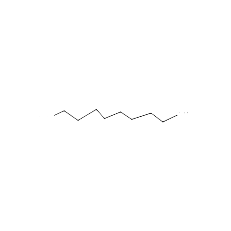 CNCCCCCCCC[C]=O